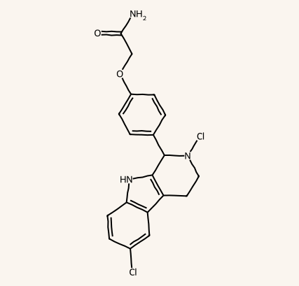 NC(=O)COc1ccc(C2c3[nH]c4ccc(Cl)cc4c3CCN2Cl)cc1